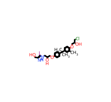 Cc1cc(C(C)(C)c2ccc(OC[C@@H](O)Cn3nnc(CO)c3I)cc2)ccc1OC[C@@H](O)CCl